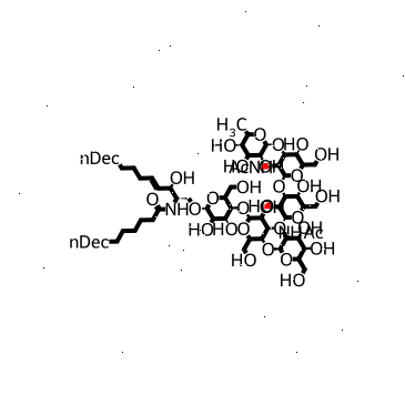 CCCCCCCCCCCCC/C=C/[C@@H](O)[C@H](CO[C@@H]1OC(CO)[C@@H](O[C@@H]2OC(CO)[C@H](O[C@@H]3OC(CO)[C@H](O)[C@H](O)C3NC(C)=O)[C@H](O[C@H]3OC(CO)[C@H](O)[C@H](O[C@@H]4OC(CO)[C@@H](O)[C@H](O[C@H]5OC(C)[C@@H](O)C(O)[C@@H]5O)C4NC(C)=O)C3O)C2O)[C@H](O)C1O)NC(=O)CCCCCCCCCCCCCCC